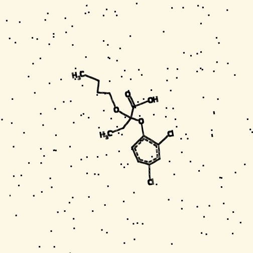 CCCCOC(CC)(Oc1ccc(Cl)cc1Cl)C(=O)O